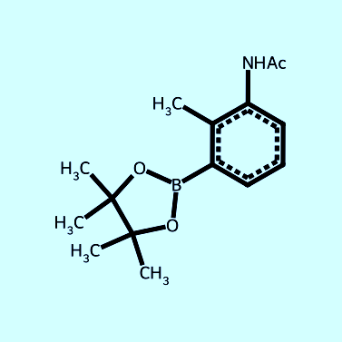 CC(=O)Nc1cccc(B2OC(C)(C)C(C)(C)O2)c1C